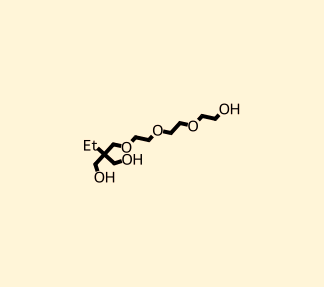 CCC(CO)(CO)COCCOCCOCCO